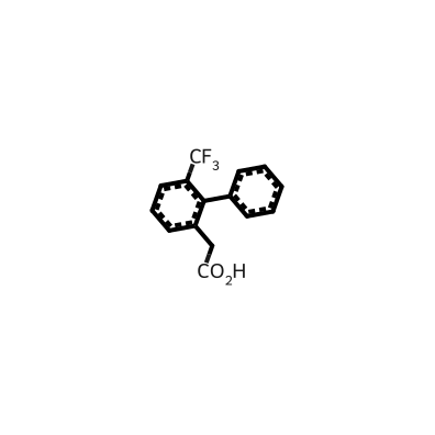 O=C(O)Cc1cccc(C(F)(F)F)c1-c1ccccc1